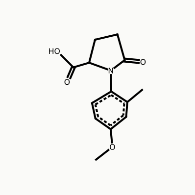 COc1ccc(N2C(=O)CCC2C(=O)O)c(C)c1